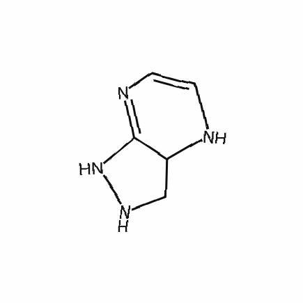 C1=CNC2CNNC2=N1